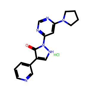 Cl.O=c1c(-c2cccnc2)c[nH]n1-c1cc(N2CCCC2)ncn1